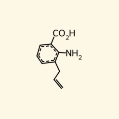 C=CCc1cccc(C(=O)O)c1N